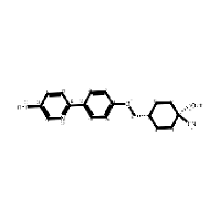 CCCCCCCC[C@]1(C#N)CC[C@H](COc2ccc(-c3ccc(CCC)cn3)cc2)CC1